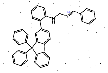 C(=N\CNc1ccccc1-c1ccc2c(c1)C(c1ccccc1)(c1ccccc1)c1ccccc1-2)/c1ccccc1